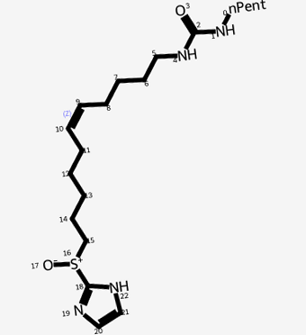 CCCCCNC(=O)NCCCC/C=C\CCCCC[S+]([O-])c1ncc[nH]1